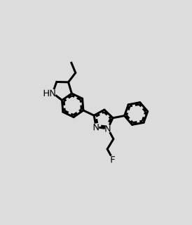 CCC1CNc2ccc(-c3cc(-c4ccccc4)n(CCF)n3)cc21